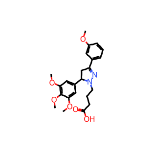 COc1cccc(C2=NN(CCCC(=O)O)C(c3cc(OC)c(OC)c(OC)c3)C2)c1